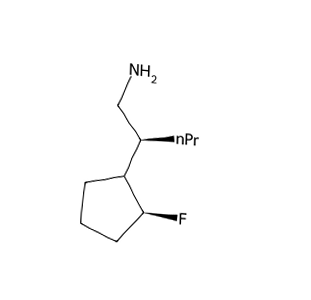 CCC[C@H](CN)C1CCC[C@@H]1F